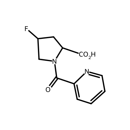 O=C(O)C1CC(F)CN1C(=O)c1ccccn1